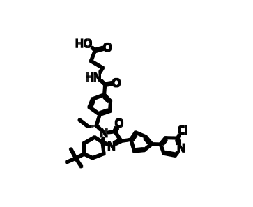 CC[C@H](c1ccc(C(=O)NCCC(=O)O)cc1)N1C(=O)C(c2ccc(-c3ccnc(Cl)c3)cc2)=NC12CCC(C(C)(C)C)CC2